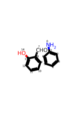 Nc1ccccc1.O=Cc1ccccc1O